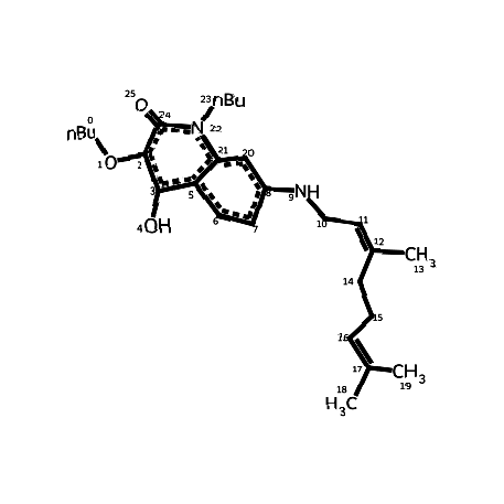 CCCCOc1c(O)c2ccc(NCC=C(C)CCC=C(C)C)cc2n(CCCC)c1=O